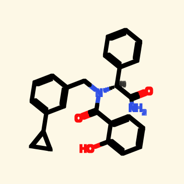 NC(=O)[C@@H](c1ccccc1)N(Cc1cccc(C2CC2)c1)C(=O)c1ccccc1O